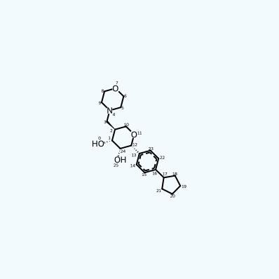 O[C@@H]1[C@@H](CN2CCOCC2)CO[C@H](c2ccc(C3CCCC3)cc2)[C@@H]1O